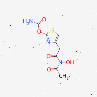 CC(=O)N(O)C(=O)Cc1csc(OC(N)=O)n1